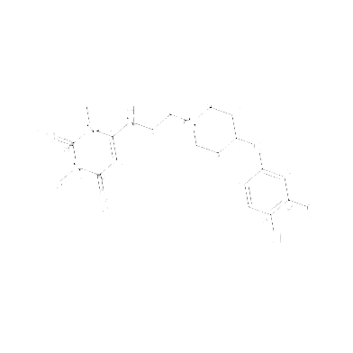 Cn1c(NCCN2CCC(Oc3ccc(Cl)c(Cl)c3)CC2)cc(=O)n(C)c1=O